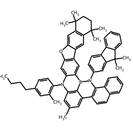 CCCCc1ccc(N2c3cc4oc5cc6c(cc5c4cc3B3c4c(cc(C)cc42)-c2ccc4ccccc4c2N3c2ccc3c(c2)C(C)(C)c2ccccc2-3)C(C)(C)CCC6(C)C)c(C)c1